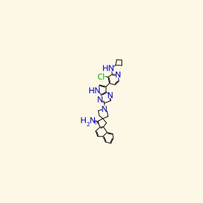 N[C@@H]1c2ccc3ccccc3c2CC12CCN(c1cnc3c(-c4ccnc(NC5CCC5)c4Cl)c[nH]c3n1)CC2